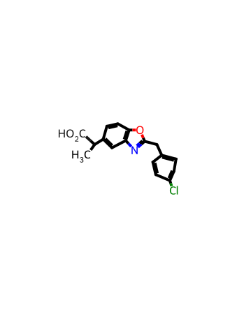 CC(C(=O)O)c1ccc2oc(Cc3ccc(Cl)cc3)nc2c1